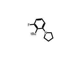 CC(C)(C)c1c(F)cccc1N1CCCC1